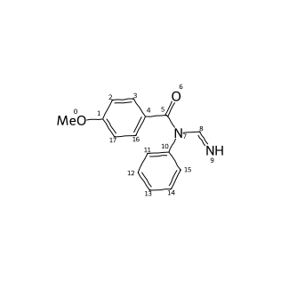 COc1ccc(C(=O)N(C=N)c2ccccc2)cc1